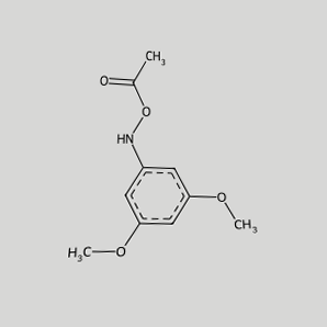 COc1cc(NOC(C)=O)cc(OC)c1